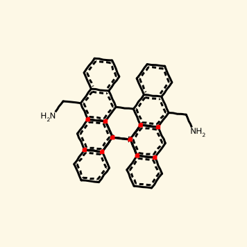 NCc1cc(P(c2ccccc2)c2ccccc2)c(-c2c(P(c3ccccc3)c3ccccc3)cc(CN)c3ccccc23)c2ccccc12